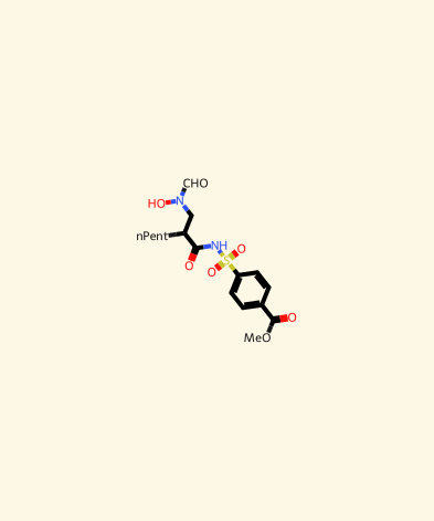 CCCCCC(CN(O)C=O)C(=O)NS(=O)(=O)c1ccc(C(=O)OC)cc1